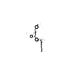 COCCOCCS(=O)(=O)Nc1cccc(C(CN(C)C(=O)Cc2ccc(Cl)c(Cl)c2)N2CCCC2)c1